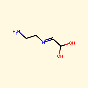 NCCN=CC(O)O